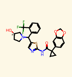 O=C(Nc1ncc(C(c2ccccc2C(F)(F)F)N2CC[C@@H](O)C2)s1)C1(c2ccc3c(c2)OCO3)CC1